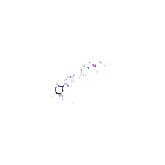 NCC(=O)NC1CCC(CCN2CCN(c3ccc(F)c(N)c3)CC2)CC1